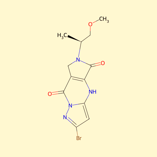 COC[C@H](C)N1Cc2c([nH]c3cc(Br)nn3c2=O)C1=O